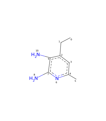 CCc1cc(C)nc(N)c1N